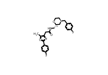 Cc1oc(-c2ccc(F)cc2)nc1CC(=O)NC[C@H]1CN(Cc2ccc(F)cc2)CCO1